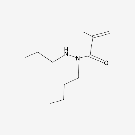 C=C(C)C(=O)N(CCCC)NCCC